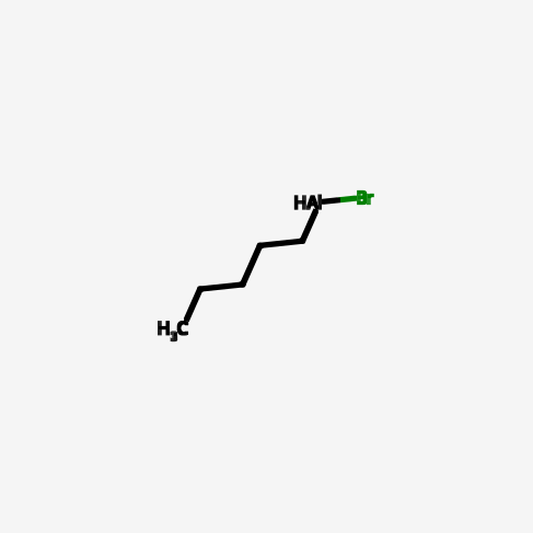 CCCC[CH2][AlH][Br]